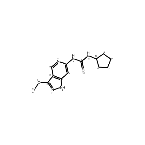 CCOc1n[nH]c2cc(NC(=O)NC3CCCC3)ncc12